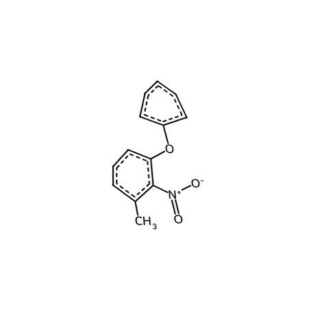 Cc1cccc(Oc2ccccc2)c1[N+](=O)[O-]